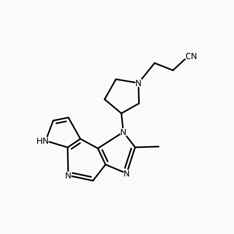 Cc1nc2cnc3[nH]ccc3c2n1C1CCN(CCC#N)C1